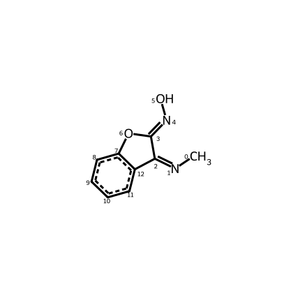 C/N=C1\C(=NO)Oc2ccccc21